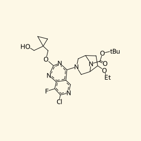 CCOC1CC2CN(c3nc(OCC4(CO)CC4)nc4c(F)c(Cl)ncc34)CC1N2C(=O)OC(C)(C)C